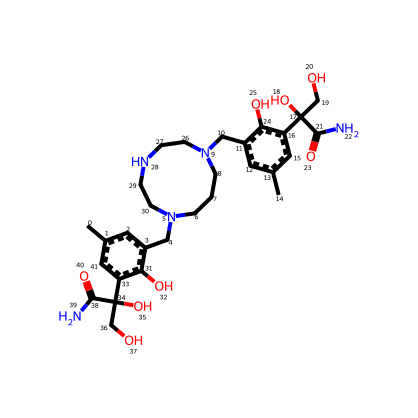 Cc1cc(CN2CCCN(Cc3cc(C)cc(C(O)(CO)C(N)=O)c3O)CCNCC2)c(O)c(C(O)(CO)C(N)=O)c1